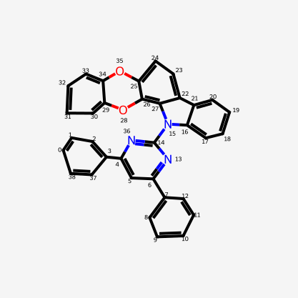 c1ccc(-c2cc(-c3ccccc3)nc(-n3c4ccccc4c4ccc5c(c43)Oc3ccccc3O5)n2)cc1